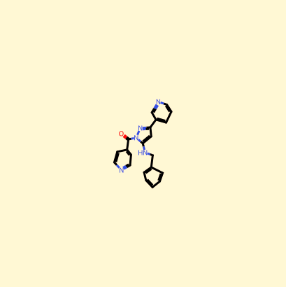 O=C(c1ccncc1)n1nc(-c2cccnc2)cc1NCc1ccccc1